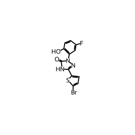 O=c1[nH]c(-c2ccc(Br)s2)nn1-c1cc(F)ccc1O